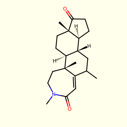 CC1C[C@@H]2[C@H](CC[C@]3(C)C(=O)CC[C@@H]23)[C@@]2(C)CCN(C)C(=O)C=C12